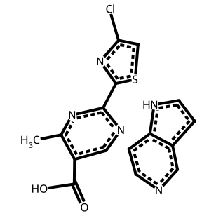 Cc1nc(-c2nc(Cl)cs2)ncc1C(=O)O.c1cc2[nH]ccc2cn1